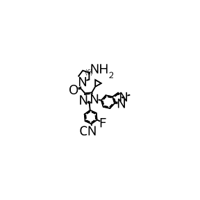 Cn1cc2cc(-n3c(-c4ccc(C#N)c(F)c4)nc(C(=O)N4CC[C@H](N)C4)c3C3CC3)ccc2n1